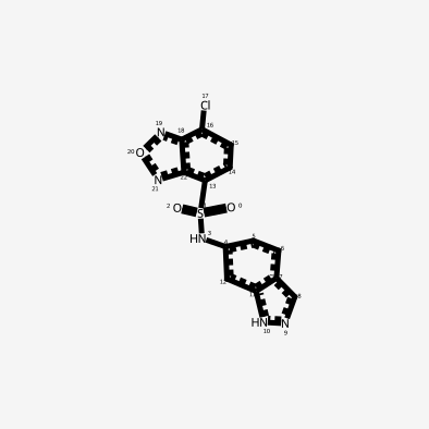 O=S(=O)(Nc1ccc2cn[nH]c2c1)c1ccc(Cl)c2nonc12